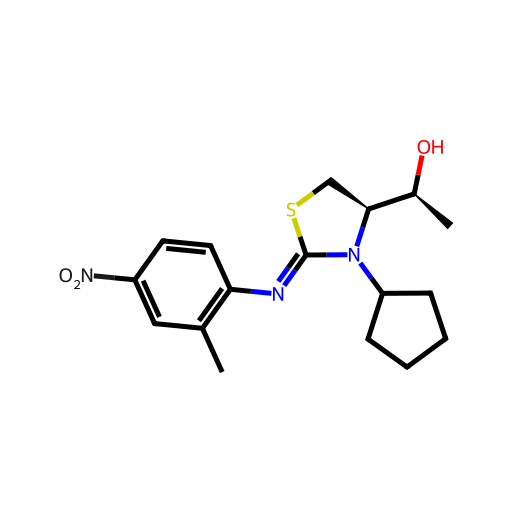 Cc1cc([N+](=O)[O-])ccc1N=C1SC[C@@H]([C@H](C)O)N1C1CCCC1